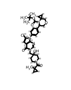 CC(C)(C)OC(=O)N1C(c2ccc(-n3c(Cl)cc4c(=O)n(CC5(O)CCN(C(=O)C6(C)CC6)CC5)cnc43)cc2)COCC12CC2